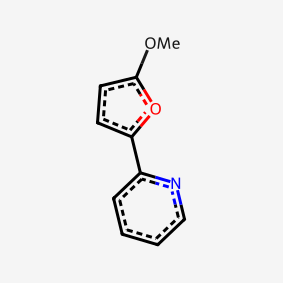 COc1ccc(-c2ccccn2)o1